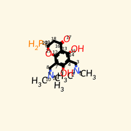 CN(C)Cc1c(O)c(CN(C)C)c2c(c1O)C(=O)C[C@@H](P)O2